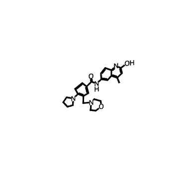 Cc1cc(O)nc2ccc(NC(=O)c3ccc(N4CCCC4)c(CN4CCOCC4)c3)cc12